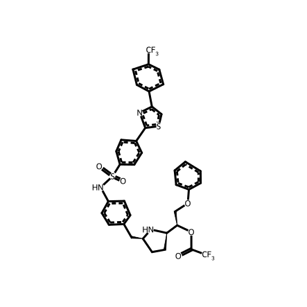 O=C(O[C@H](COc1ccccc1)[C@H]1CC[C@@H](Cc2ccc(NS(=O)(=O)c3ccc(-c4nc(-c5ccc(C(F)(F)F)cc5)cs4)cc3)cc2)N1)C(F)(F)F